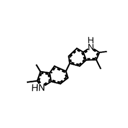 Cc1[nH]c2ccc(-c3ccc4[nH]c(C)c(C)c4c3)cc2c1C